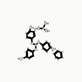 Cc1ccc(OP(Oc2ccc(C)cc2)Oc2ccc(C)cc2)cc1.OP(O)O.c1ccccc1